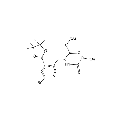 CC(C)(C)OC(=O)NC(Cc1ccc(Br)cc1B1OC(C)(C)C(C)(C)O1)C(=O)OC(C)(C)C